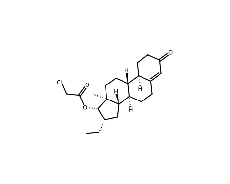 CC[C@H]1C[C@H]2[C@@H]3CCC4=CC(=O)CC[C@@H]4[C@H]3CC[C@]2(C)[C@H]1OC(=O)CCl